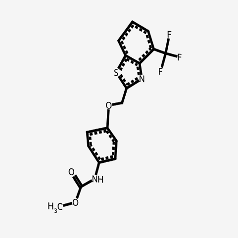 COC(=O)Nc1ccc(OCc2nc3c(C(F)(F)F)cccc3s2)cc1